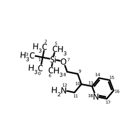 CC(C)(C)[Si](C)(C)OCCC(CN)c1ccccn1